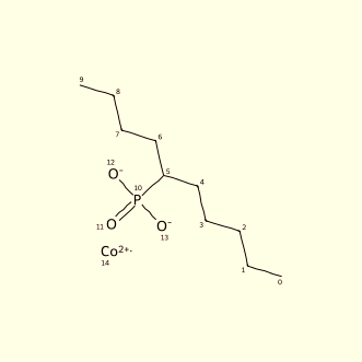 CCCCCC(CCCC)P(=O)([O-])[O-].[Co+2]